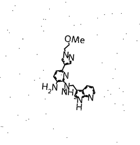 COCCn1cc(-c2ccc(N)c(N(N)Cc3c[nH]c4ncccc34)n2)cn1